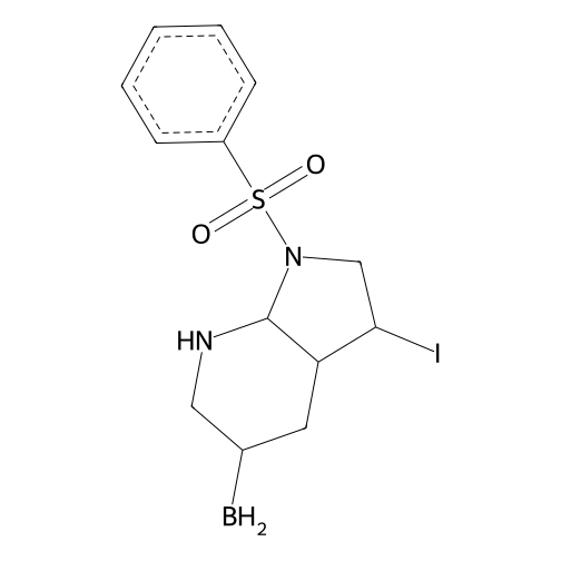 BC1CNC2C(C1)C(I)CN2S(=O)(=O)c1ccccc1